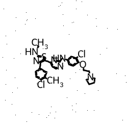 CCNc1nc(-c2ccc(Cl)c(C)c2)c(-c2ccnc(Nc3ccc(OCCN4CCCC4)c(Cl)c3)n2)s1